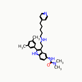 Cc1cc(C)cc(-c2[nH]c3ccc(NC(=O)N(C)C)cc3c2CCNCCCCCc2ccncc2)c1